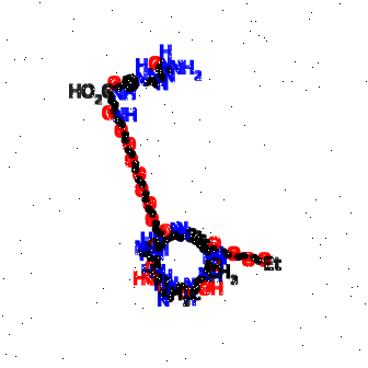 CCOCCOCCOCCNC(=O)[C@@H]1CCCCn2cc(nn2)C[C@H](NC(=O)CCOCCOCCOCCOCCOCCOCCOCCNC(=O)CC[C@H](NC(=O)c2ccc(NCc3cnc4nc(N)[nH]c(=O)c4n3)cc2)C(=O)O)C(=O)N[C@H](Cc2cnc[nH]2)C(=O)N[C@H](CO)C(=O)N[C@H](Cc2cnc[nH]2)C(=O)N[C@H]([C@H](C)O)C(=O)N[C@H](C)C(=O)N1